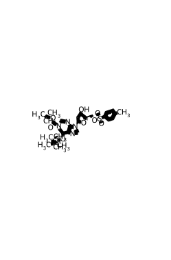 Cc1ccc(S(=O)(=O)OC[C@H]2O[C@@H](n3cnc4c3N=CN(C(=O)OC(C)(C)C)CC4O[Si](C)(C)C(C)(C)C)C[C@H]2O)cc1